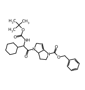 CC(C)(C)OC(=O)NC(C(=O)N1CC=C2C1CCN2C(=O)OCc1ccccc1)C1CCCCC1